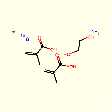 C=C(C)C(=O)O.C=C(C)C(=O)O.Cl.N.N.N.OCCO